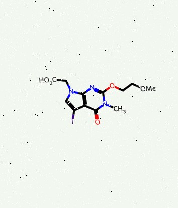 COCCOc1nc2c(c(I)cn2CC(=O)O)c(=O)n1C